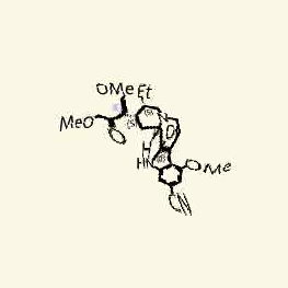 CC[C@@H]1CN2CCC3c4c(cc(C#N)cc4OC)N[C@]3(OI)[C@@H]2C[C@@H]1/C(=C\OC)C(=O)COC